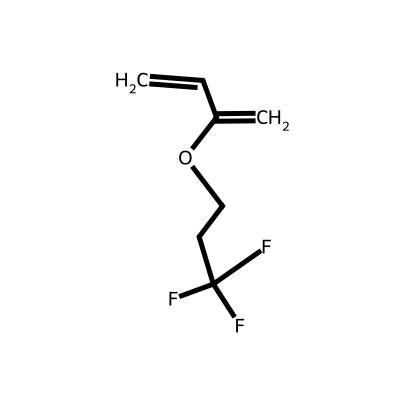 C=CC(=C)OCCC(F)(F)F